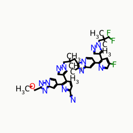 COCc1nc2cc(-c3nc(C#N)ccc3-c3cnn(CC(C)(C)Cc4c(C)nc5cc(-c6ncc(F)cc6-c6cnn(CC(C)(C)C(F)F)c6)ccn45)c3)ccn2n1